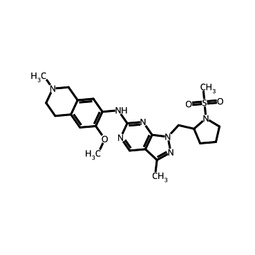 COc1cc2c(cc1Nc1ncc3c(C)nn(CC4CCCN4S(C)(=O)=O)c3n1)CN(C)CC2